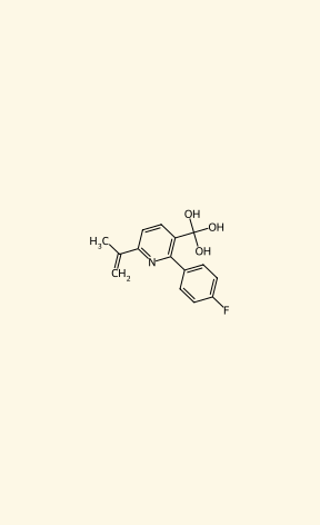 C=C(C)c1ccc(C(O)(O)O)c(-c2ccc(F)cc2)n1